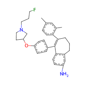 Cc1ccc(C2=C(c3ccc(OC4CCN(CCCF)C4)cc3)c3ccc(N)cc3CCC2)c(C)c1